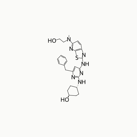 CN(CCO)c1ccc2nc(Nc3cc(Cc4ccccc4)nc(N[C@H]4CC[C@H](O)CC4)n3)sc2n1